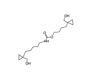 O=C(NCCCCCC1(CO)CC1)OCCCCC1(CO)CC1